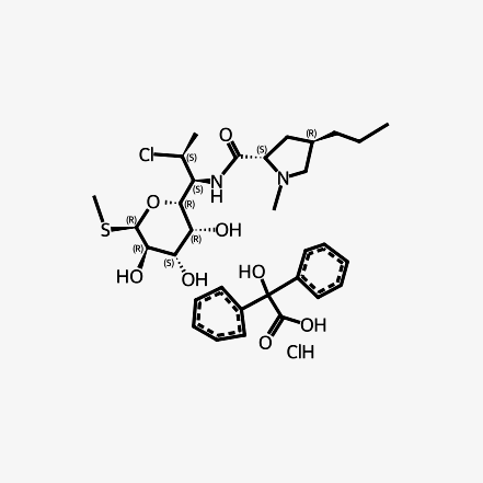 CCC[C@@H]1C[C@@H](C(=O)N[C@@H]([C@H]2O[C@H](SC)[C@H](O)[C@@H](O)[C@H]2O)[C@H](C)Cl)N(C)C1.Cl.O=C(O)C(O)(c1ccccc1)c1ccccc1